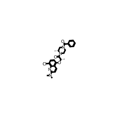 C[C@H](Oc1ccc(Cl)c2nc(N(C)C)ccc12)C(=O)N1CCN(C(=O)c2ccccc2)C[C@H]1C